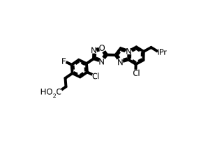 CC(C)Cc1cc(Cl)c2nc(-c3nc(-c4cc(F)c(CCC(=O)O)cc4Cl)no3)cn2c1